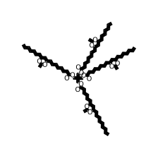 CCCCCCCCCC(CCCCCCCC(=O)OCC(COC(=O)CCCCCCCC(CCCCCCCCC)OC(C)=O)(COC(=O)CCCCCCCC(CCCCCCCCC)OC(C)=O)COC(=O)CCCCCCCC(CCCCCCCCC)OC(C)=O)OC(C)=O